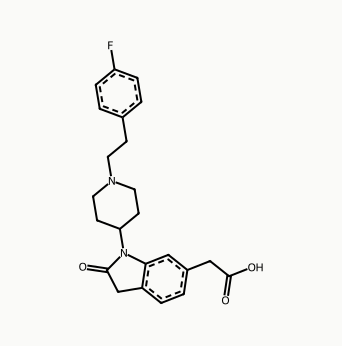 O=C(O)Cc1ccc2c(c1)N(C1CCN(CCc3ccc(F)cc3)CC1)C(=O)C2